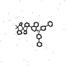 CC1(C)c2ccccc2C2(c3ccccc3-c3c(-c4ccc(N(c5ccc(-c6ccccc6)cc5)c5ccc(-c6ccccc6)cc5)c5ccccc45)cccc32)c2ccccc21